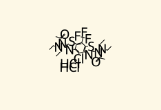 CCN(CC)N(C(C)=O)c1nc2c(Cl)c3nc(N(C(C)=O)N(CC)CC)sc3c(C(F)(F)F)c2s1.Cl.Cl